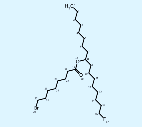 CCCCCCCCC(CCCCCCCCF)OC(=O)CCCCCCCBr